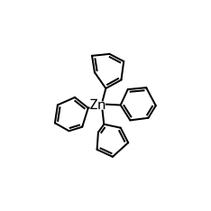 c1cc[c]([Zn]([c]2ccccc2)([c]2ccccc2)[c]2ccccc2)cc1